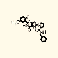 Cc1ccc(F)c(-c2nc3sc(N4CCC[C@@H]4C(=O)NCc4ccccc4)nc3c(=O)[nH]2)c1